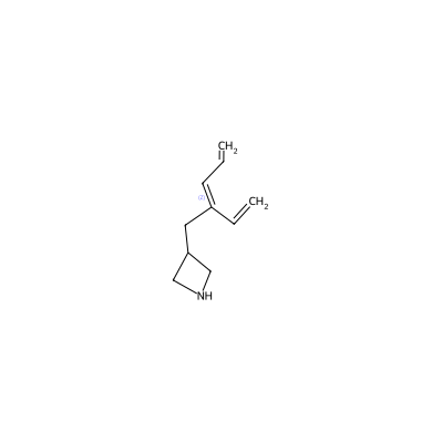 C=C/C=C(\C=C)CC1CNC1